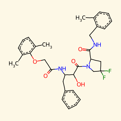 Cc1ccccc1CNC(=O)C1CC(F)(F)CN1C(=O)C(O)C(Cc1ccccc1)NC(=O)COc1c(C)cccc1C